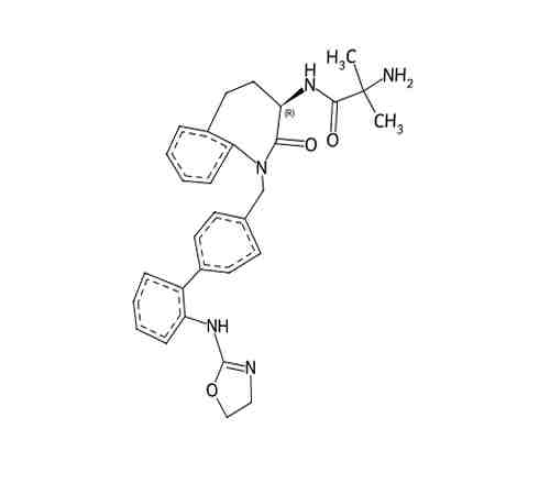 CC(C)(N)C(=O)N[C@@H]1CCc2ccccc2N(Cc2ccc(-c3ccccc3NC3=NCCO3)cc2)C1=O